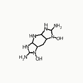 NC1NC2NC3NC(N)N(O)C3CC2N1O